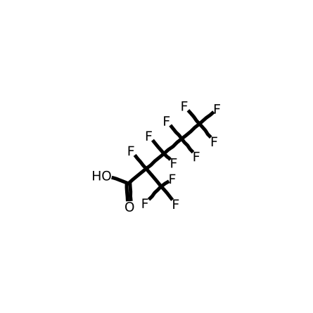 O=C(O)C(F)(C(F)(F)F)C(F)(F)C(F)(F)C(F)(F)F